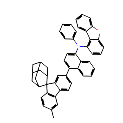 Cc1ccc2c(c1)-c1ccc(-c3ccc(N(c4ccccc4)c4cccc5oc6ccccc6c45)c4ccccc34)cc1C21C2CC3CC(C2)CC1C3